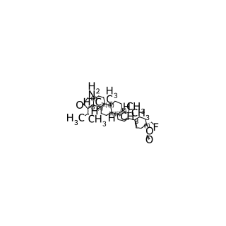 CC(C)C1=C2[C@H]3CC[C@@H]4[C@@]5(C)CC=C(C6=CC[C@](CF)(OC=O)CC6)C(C)(C)[C@@H]5CC[C@@]4(C)[C@]3(C)CC[C@@]2(N)CC1=O